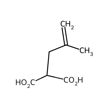 C=C(C)CC(C(=O)O)C(=O)O